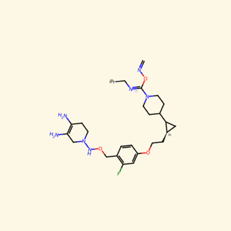 C=NO/C(=N\CC(C)C)N1CCC(C2C[C@H]2CCOc2ccc(CONN3CCC(N)=C(N)C3)c(F)c2)CC1